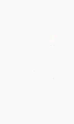 CC(=O)Oc1ccccc1C1CCC(=O)CC1